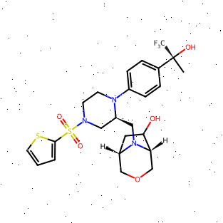 C[C@@](O)(c1ccc(N2CCN(S(=O)(=O)c3cccs3)C[C@@H]2CN2[C@@H]3COC[C@H]2C(O)C3)cc1)C(F)(F)F